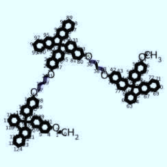 C=COc1ccc2cc(C3(c4ccc5cc(O/C=C/C=C/Oc6ccc7cc(C8(c9ccc%10cc(O/C=C/C=C/Oc%11ccc%12cc(C%13(c%14ccc%15cc(OC)ccc%15c%14)c%14ccccc%14-c%14cc%15ccccc%15cc%14%13)ccc%12c%11)ccc%10c9)c9cc%10ccccc%10cc9-c9cc%10ccccc%10cc98)ccc7c6)ccc5c4)c4ccccc4-c4c3ccc3ccccc43)ccc2c1